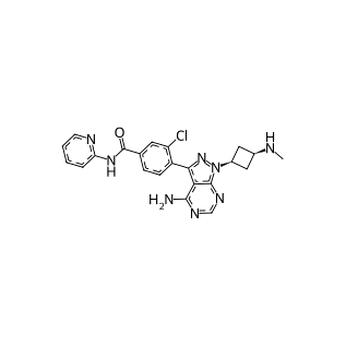 CN[C@H]1C[C@@H](n2nc(-c3ccc(C(=O)Nc4ccccn4)cc3Cl)c3c(N)ncnc32)C1